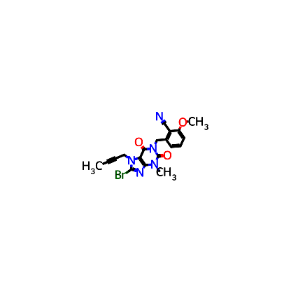 CC#CCn1c(Br)nc2c1c(=O)n(Cc1cccc(OC)c1C#N)c(=O)n2C